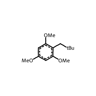 COc1cc(OC)c(CC(C)(C)C)c(OC)c1